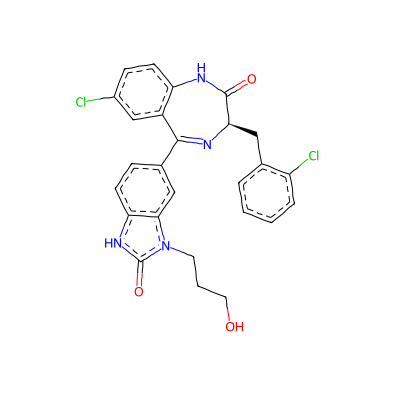 O=C1Nc2ccc(Cl)cc2C(c2ccc3[nH]c(=O)n(CCCO)c3c2)=N[C@@H]1Cc1ccccc1Cl